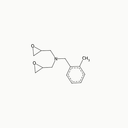 Cc1ccccc1CN(CC1CO1)CC1CO1